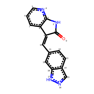 O=C1Nc2ncccc2C1=Cc1ccc2cn[nH]c2c1